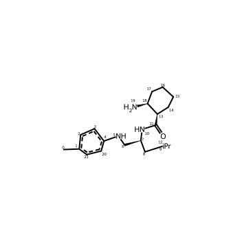 Cc1ccc(NC[C@H](CC(C)C)NC(=O)[C@@H]2CCCC[C@@H]2N)cc1